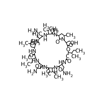 C=C1NC(C(C)C)C(=O)NC2CC(C)N(C2=O)C(CO)C(=O)OC(C(C)CC)CC(=O)NC(CCN)C(=O)NC(C(C)CC)C(=O)NC(CCN)C(=O)NC(C(C)CC)C(=O)NC(CC(C)C)C(=O)NC1CCN